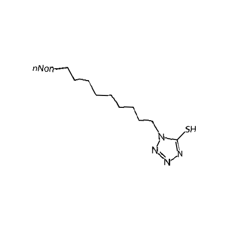 CCCCCCCCCCCCCCCCCCn1nnnc1S